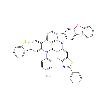 CC(C)(C)c1ccc(N2B3c4cc5nc(-c6ccccc6)sc5cc4-n4c5cc6c(cc5c5ccc(c3c54)-c3cc4sc5ccccc5c4cc32)oc2ccccc26)cc1